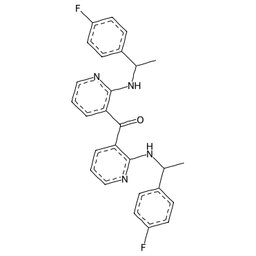 CC(Nc1ncccc1C(=O)c1cccnc1NC(C)c1ccc(F)cc1)c1ccc(F)cc1